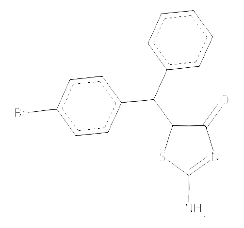 NC1=NC(=O)C(C(c2ccccc2)c2ccc(Br)cc2)S1